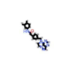 Cc1ccc(NC(=O)Cc2ccc(CN3CCn4ncc5ncnc3c54)cc2)cc1C